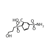 NS(=O)(=O)c1ccc(S(=O)(=O)CCCO)c(C(=O)O)c1